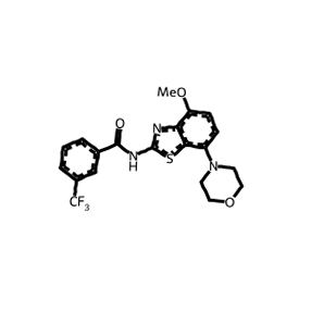 COc1ccc(N2CCOCC2)c2sc(NC(=O)c3cccc(C(F)(F)F)c3)nc12